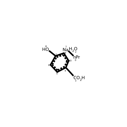 CC[CH2][Na].O.O=C(O)c1ccc(O)cc1